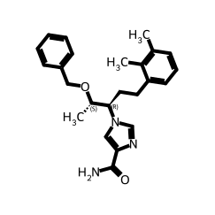 Cc1cccc(CC[C@H]([C@H](C)OCc2ccccc2)n2cnc(C(N)=O)c2)c1C